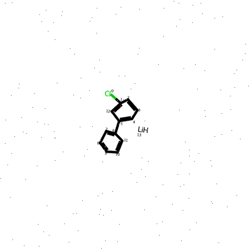 Clc1cccc(-c2ccccc2)c1.[LiH]